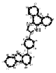 C1=Nc2c(c3ccccc3c3ccccc23)NC1c1ccc(-c2cccc3c2sc2ccccc23)cc1